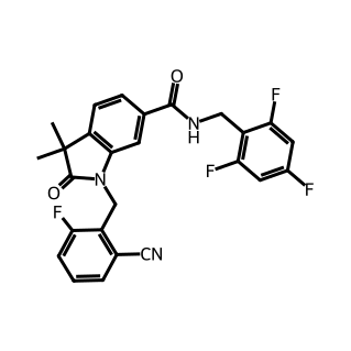 CC1(C)C(=O)N(Cc2c(F)cccc2C#N)c2cc(C(=O)NCc3c(F)cc(F)cc3F)ccc21